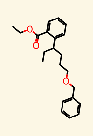 CCOC(=O)c1ccccc1C(CC)CCCOCc1ccccc1